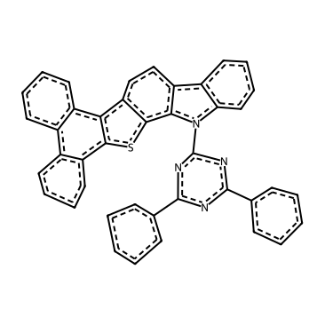 c1ccc(-c2nc(-c3ccccc3)nc(-n3c4ccccc4c4ccc5c(sc6c7ccccc7c7ccccc7c56)c43)n2)cc1